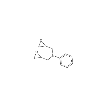 c1ccc(N(CC2CO2)CC2CO2)cc1